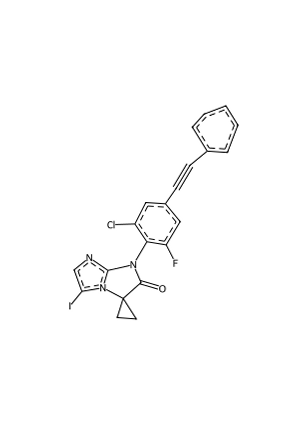 O=C1N(c2c(F)cc(C#Cc3ccccc3)cc2Cl)c2ncc(I)n2C12CC2